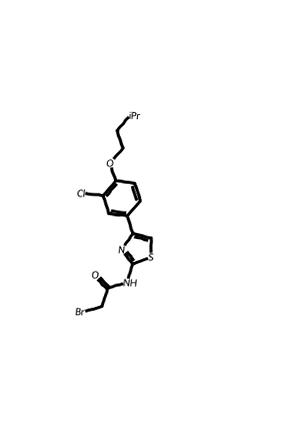 CC(C)CCOc1ccc(-c2csc(NC(=O)CBr)n2)cc1Cl